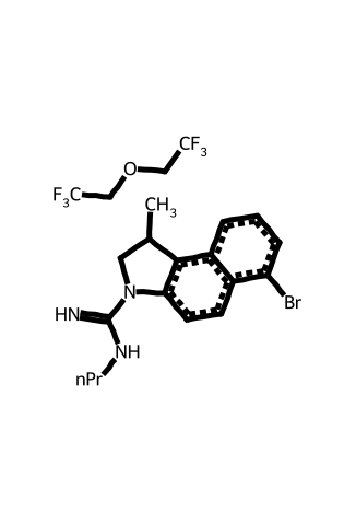 CCCNC(=N)N1CC(C)c2c1ccc1c(Br)cccc21.FC(F)(F)COCC(F)(F)F